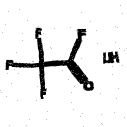 O=C(F)C(F)(F)F.[LiH]